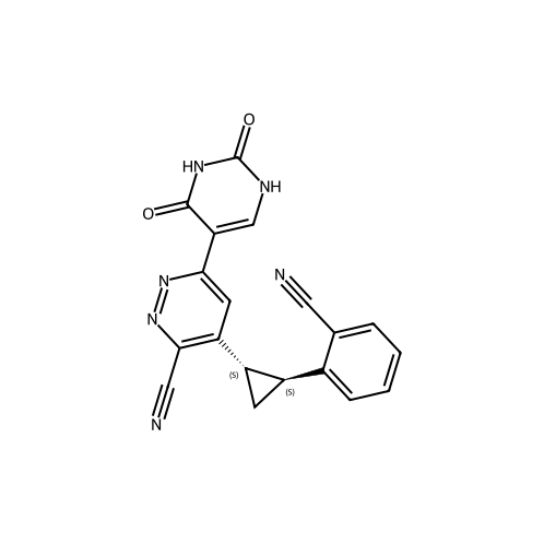 N#Cc1ccccc1[C@H]1C[C@@H]1c1cc(-c2c[nH]c(=O)[nH]c2=O)nnc1C#N